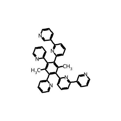 Cc1c(-c2ccccn2)c(-c2cccc(-c3cccnc3)n2)c(C)c(-c2cccc(-c3cccnc3)n2)c1-c1ccccn1